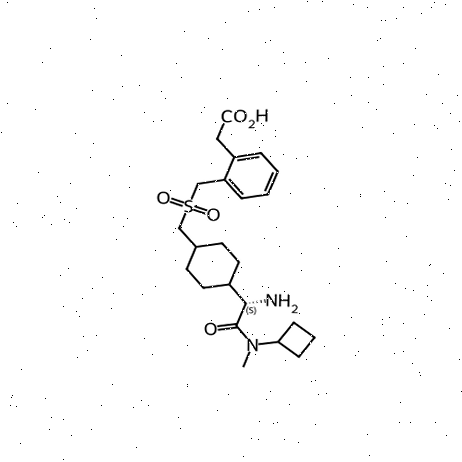 CN(C(=O)[C@@H](N)C1CCC(CS(=O)(=O)Cc2ccccc2CC(=O)O)CC1)C1CCC1